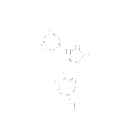 Cc1ncc(-n2nc(C(F)(F)F)cc2Oc2ncc(Cl)cn2)cn1